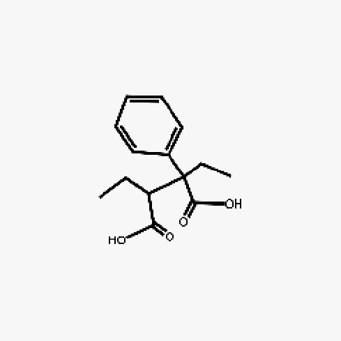 CCC(C(=O)O)C(CC)(C(=O)O)c1ccccc1